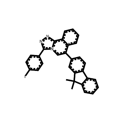 CC1(C)c2ccccc2-c2ccc(-c3cn4c(-c5ccc(I)cc5)nnc4c4ccccc34)cc21